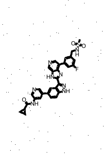 CS(=O)(=O)NCc1cc(F)cc(-c2cncc3[nH]c(-c4n[nH]c5ccc(-c6cncc(NC(=O)C7CC7)c6)cc45)nc23)c1